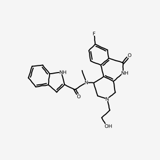 CN(C(=O)c1cc2ccccc2[nH]1)C1CN(CCO)Cc2[nH]c(=O)c3cc(F)ccc3c21